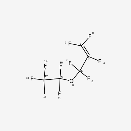 FC(F)=C(F)C(F)(F)OC(F)(F)C(F)(F)I